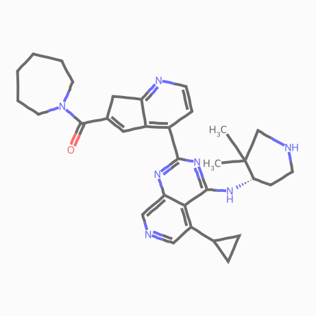 CC1(C)CNCC[C@@H]1Nc1nc(-c2ccnc3c2C=C(C(=O)N2CCCCCC2)C3)nc2cncc(C3CC3)c12